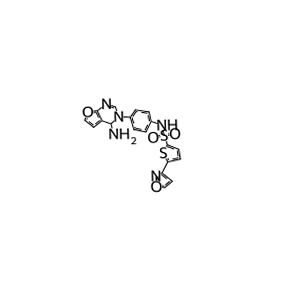 NC1c2ccoc2N=CN1c1ccc(NS(=O)(=O)c2ccc(-c3ccon3)s2)cc1